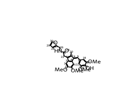 COc1cc2c(cc1OC)/C(=C\c1cc(OC)c(O)c(OC)c1)C(C)=C2CC(=O)NCc1ccco1